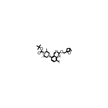 C[C@H]1CN(c2ccc(I)c3nc(OCC45CC(CO4)C5)ncc23)C[C@H](C)N1C(=O)OC(C)(C)C